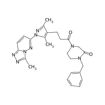 Cc1nn(-c2ccc3nnc(C)n3n2)c(C)c1CCC(=O)N1CCN(Cc2ccccc2)C(=O)C1